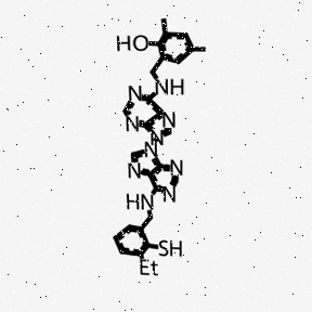 CCc1cccc(CNc2ncnc3c2ncn3-n2cnc3c(NCc4cc(C)cc(C)c4O)ncnc32)c1S